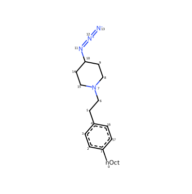 CCCCCCCCc1ccc(CCN2CCC(N=[N+]=[N-])CC2)cc1